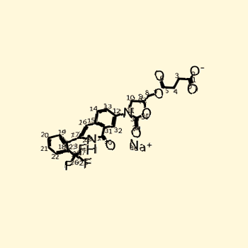 O=C([O-])CCC(=O)OC[C@@H]1CN(c2ccc3cc(-c4ccccc4C(F)(F)F)[nH]c(=O)c3c2)C(=O)O1.[Na+]